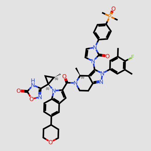 Cc1cc(-n2nc3c(c2-n2ccn(-c4ccc(P(C)(C)=O)cc4)c2=O)[C@H](C)N(C(=O)c2cc4cc(C5CCOCC5)ccc4n2[C@@]2(c4noc(=O)[nH]4)C[C@@H]2C)CC3)cc(C)c1F